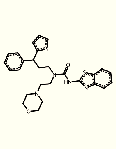 O=C(Nc1nc2ccccc2s1)N(CCC(c1ccccc1)c1cccs1)CCN1CCOCC1